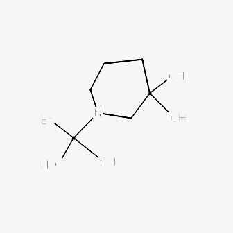 CCC(C)(C)N1CCCC(C)(C)C1